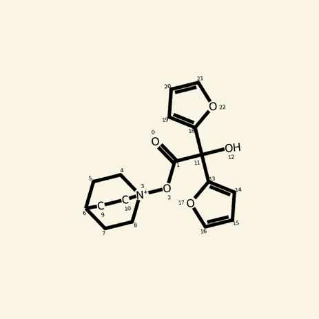 O=C(O[N+]12CCC(CC1)CC2)C(O)(c1ccco1)c1ccco1